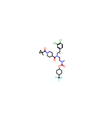 C[C@H](CN(CCN(C)C(=O)OC1CCC(C(F)(F)F)CC1)C(=O)C1CCN(C(=O)C2(C)CC2)CC1)c1ccc(Cl)c(Cl)c1